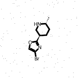 C[C@@H]1CC[C@@H](c2nc(Br)co2)CN1